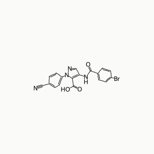 N#Cc1ccc(-n2ncc(NC(=O)c3ccc(Br)cc3)c2C(=O)O)cc1